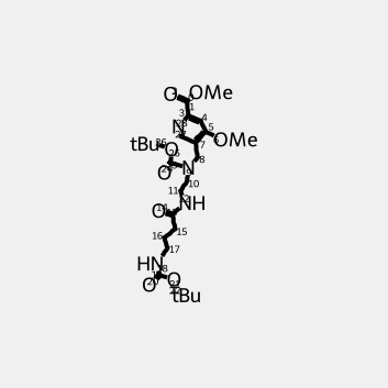 COC(=O)c1cc(OC)c(CN(CCNC(=O)CCCNC(=O)OC(C)(C)C)C(=O)OC(C)(C)C)cn1